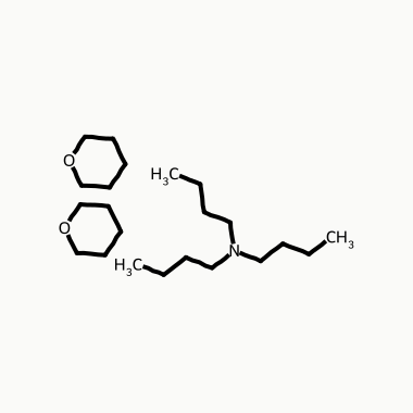 C1CCOCC1.C1CCOCC1.CCCCN(CCCC)CCCC